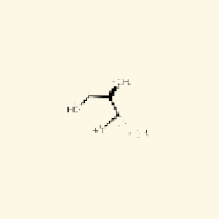 C=C(CO)CO.N.N